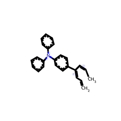 C=C/C=C(\C=C/C)c1ccc(N(c2ccccc2)c2ccccc2)cc1